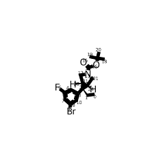 CC[C@@]1(c2cc(F)cc(Br)c2)[C@@H]2CN(C(=O)OC(C)(C)C)C[C@@H]21